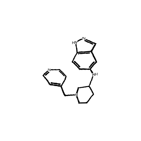 c1cc(CN2CCCC(Nc3ccc4[nH]ncc4c3)C2)ccn1